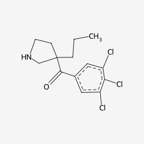 CCCC1(C(=O)c2cc(Cl)c(Cl)c(Cl)c2)CCNC1